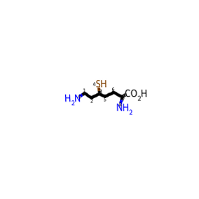 NCCC(S)CCC(N)C(=O)O